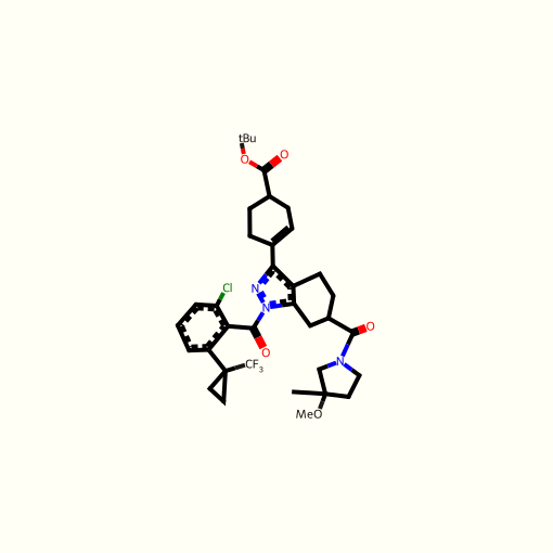 COC1(C)CCN(C(=O)C2CCc3c(C4=CCC(C(=O)OC(C)(C)C)CC4)nn(C(=O)c4c(Cl)cccc4C4(C(F)(F)F)CC4)c3C2)C1